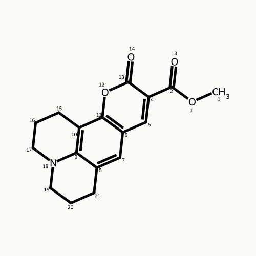 COC(=O)c1cc2cc3c4c(c2oc1=O)CCCN4CCC3